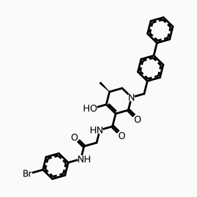 C[C@H]1CN(Cc2ccc(-c3ccccc3)cc2)C(=O)C(C(=O)NCC(=O)Nc2ccc(Br)cc2)=C1O